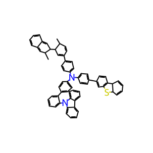 CC1C=CC(c2ccc(N(c3ccc(-c4ccc5c(c4)SC4C=CC=CC54)cc3)c3ccc(-c4ccccc4-n4c5ccccc5c5ccccc54)cc3)cc2)=CC1C1C=c2ccccc2=CC1C